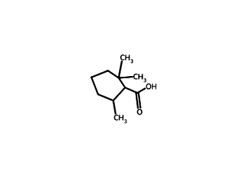 CC1CCCC(C)(C)C1C(=O)O